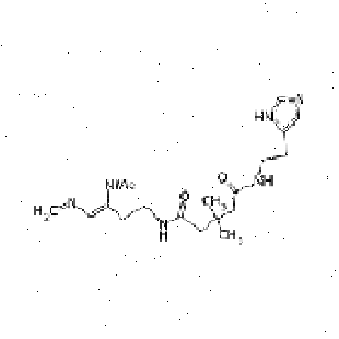 C=N/C=C(/CCNC(=O)CC(C)(C)CC(=O)NCCc1cnc[nH]1)NC